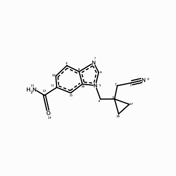 N#CCC1(Cn2cnc3ccc(C(N)=O)cc32)CC1